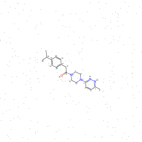 Cc1ccc(N2CCN(C(=O)Cc3ccc(C(C)C)cc3)CC2)nn1